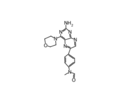 CN(C=O)c1ccc(-c2cnc3nc(N)nc(N4CCOCC4)c3n2)cc1